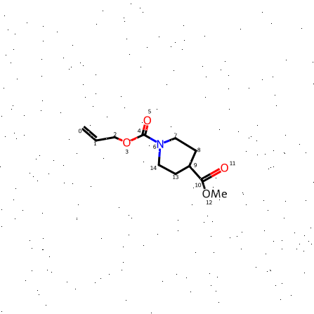 C=CCOC(=O)N1CCC(C(=O)OC)CC1